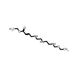 CCOCNCCNCCNCC=CC(=O)OCC